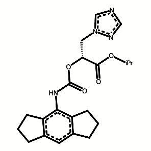 CC(C)OC(=O)[C@@H](Cn1cncn1)OC(=O)Nc1c2c(cc3c1CCC3)CCC2